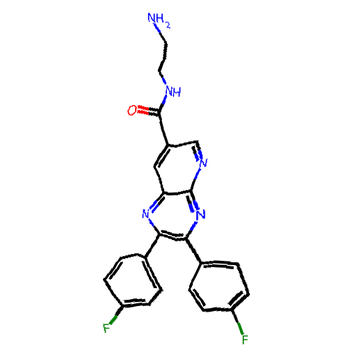 NCCNC(=O)c1cnc2nc(-c3ccc(F)cc3)c(-c3ccc(F)cc3)nc2c1